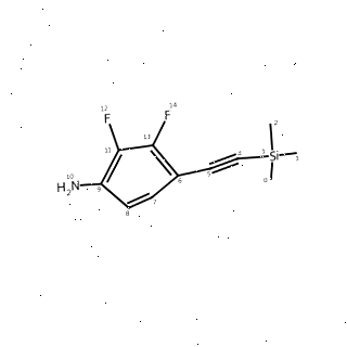 C[Si](C)(C)C#Cc1ccc(N)c(F)c1F